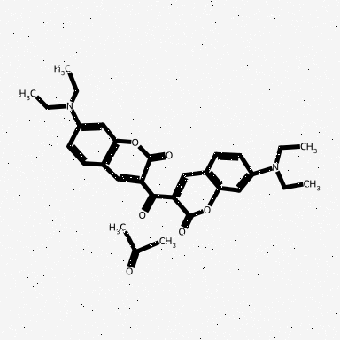 CC(C)=O.CCN(CC)c1ccc2cc(C(=O)c3cc4ccc(N(CC)CC)cc4oc3=O)c(=O)oc2c1